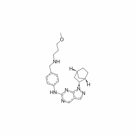 COCCCNCc1ccc(Nc2ncc3cnn([C@H]4C[C@@H]5CC[C@H]4C5)c3n2)cc1